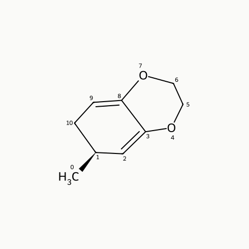 C[C@@H]1C=C2OCCOC2=CC1